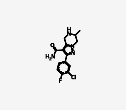 CC1Cn2nc(-c3ccc(F)c(Cl)c3)c(C(N)=O)c2CN1